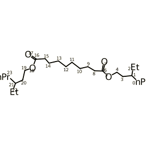 CCCC(CC)CCOC(=O)CCCCCCCCC(=O)OCCC(CC)CCC